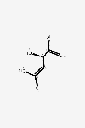 O=C(O)[C@H](O)C=C(O)O